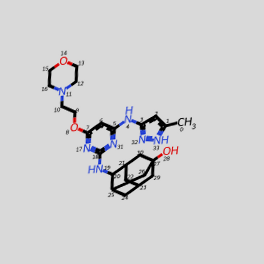 Cc1cc(Nc2cc(OCCN3CCOCC3)nc(NC3C4CC5CC3CC(O)(C5)C4)n2)n[nH]1